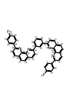 Fc1ccc(-c2ccc3ccc4ccc(-c5cccc(-c6ccc7ccc8ccc(-c9ccc(F)cc9)nc8c7n6)c5)nc4c3n2)cc1